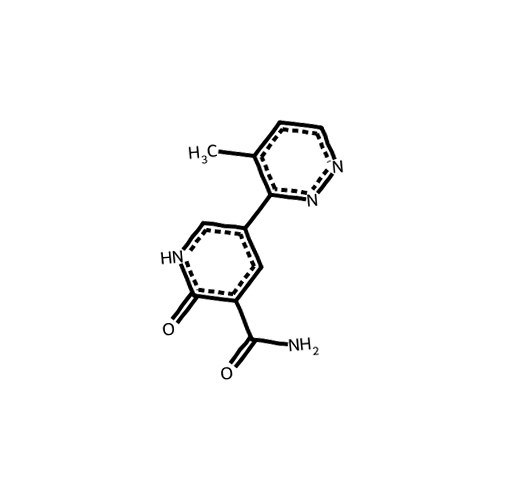 Cc1ccnnc1-c1c[nH]c(=O)c(C(N)=O)c1